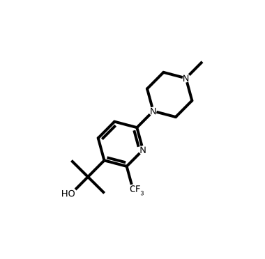 CN1CCN(c2ccc(C(C)(C)O)c(C(F)(F)F)n2)CC1